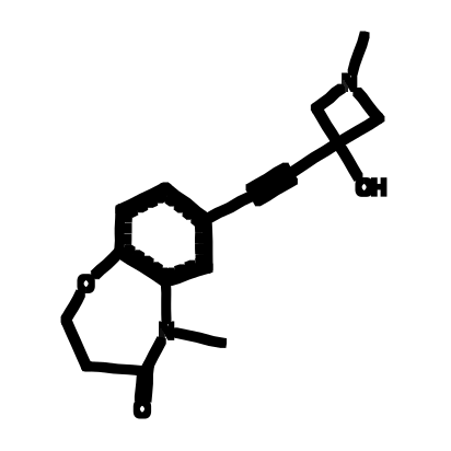 CN1CC(O)(C#Cc2ccc3c(c2)N(C)C(=O)CCO3)C1